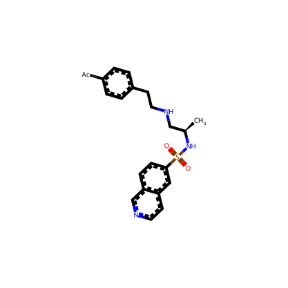 CC(=O)c1ccc(CCNC[C@@H](C)NS(=O)(=O)c2ccc3cnccc3c2)cc1